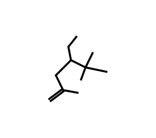 C=C(C)CC(CC)C(C)(C)C